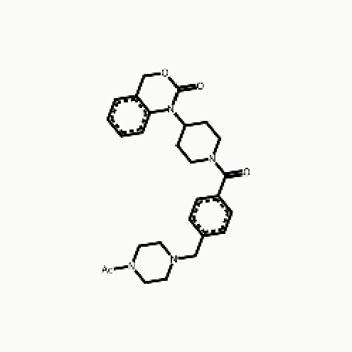 CC(=O)N1CCN(Cc2ccc(C(=O)N3CCC(N4C(=O)OCc5ccccc54)CC3)cc2)CC1